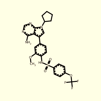 COc1cc(-c2cn(C3CCCC3)c3ncnc(N)c23)ccc1NS(=O)(=O)c1ccc(OC(F)(F)F)cc1